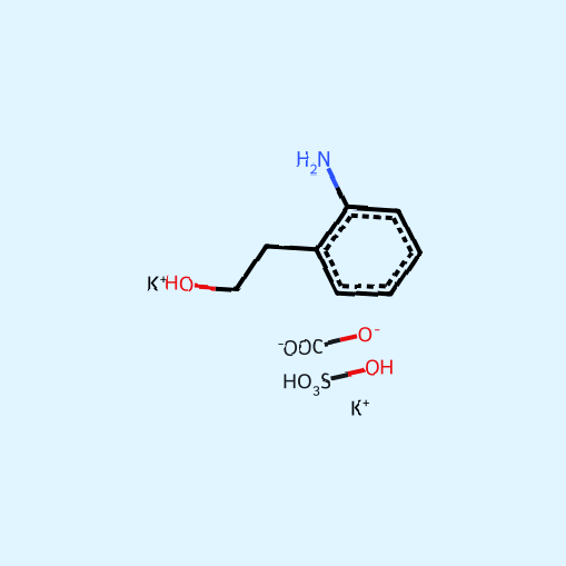 Nc1ccccc1CCO.O=C([O-])[O-].O=S(=O)(O)O.[K+].[K+]